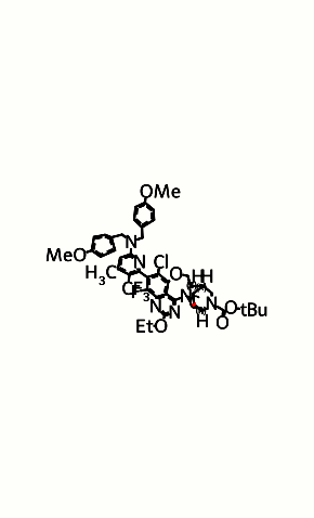 CCOc1nc2c3c(c(Cl)c(-c4nc(N(Cc5ccc(OC)cc5)Cc5ccc(OC)cc5)cc(C)c4C(F)(F)F)c(F)c3n1)OC[C@@H]1[C@@H]3CC[C@H](CN21)N(C(=O)OC(C)(C)C)C3